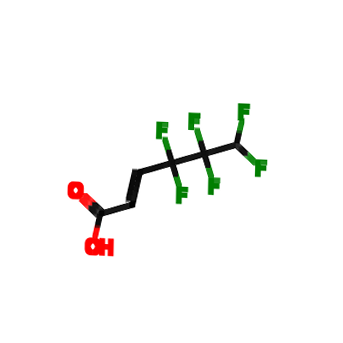 O=C(O)C=CC(F)(F)C(F)(F)C(F)F